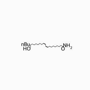 CCCCC(CO)CCCCCC/C=C\C=C/CCCCCCCC(N)=O